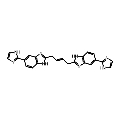 C(=CCc1nc2cc(-c3ncc[nH]3)ccc2[nH]1)Cc1nc2cc(-c3ncc[nH]3)ccc2[nH]1